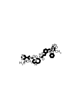 CCCOC(=O)[C@H](C)NP(=O)(Cc1ccc2sc(C(=O)N[C@H]3CCC[C@H]4CC[C@@H](C(=O)N5CC(c6cncnc6N(C)C)C5)N4C3=O)cc2c1)Oc1ccccc1